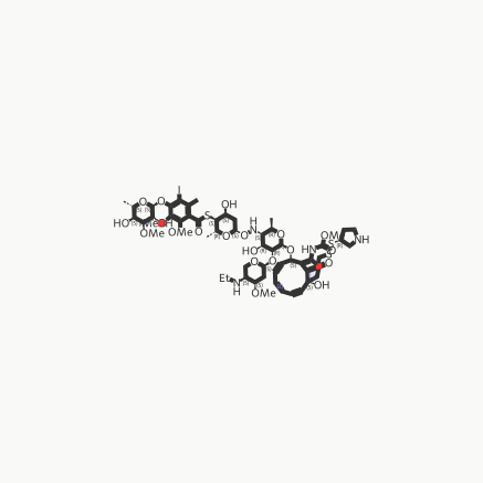 CCN[C@H]1CO[C@@H](O[C@H]2[C@H](O[C@H]3C#C/C=C\C#C[C@]4(O)CC(=O)C(NC(=O)OC)=C3/C4=C\CSS[C@@H]3CCNC3)O[C@H](C)[C@@H](NO[C@H]3C[C@H](O)[C@H](SC(=O)c4c(C)c(I)c(O[C@@H]5O[C@@H](C)[C@H](O)[C@@H](OC)[C@H]5O)c(OC)c4OC)[C@@H](C)O3)[C@H]2O)C[C@@H]1OC